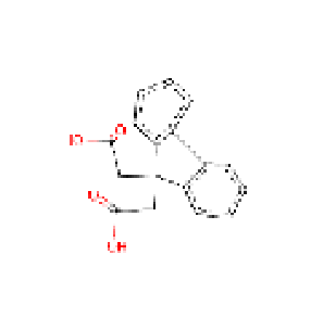 O=C(O)CC1(CC(=O)O)c2ccccc2-c2ccccc21